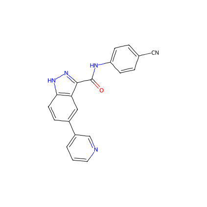 N#Cc1ccc(NC(=O)c2n[nH]c3ccc(-c4cccnc4)cc23)cc1